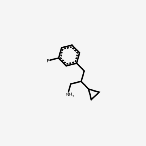 NCC(Cc1cccc(F)c1)C1CC1